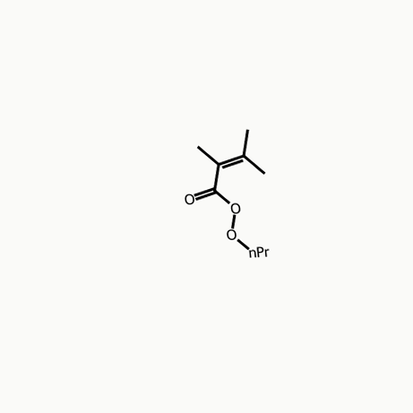 CCCOOC(=O)C(C)=C(C)C